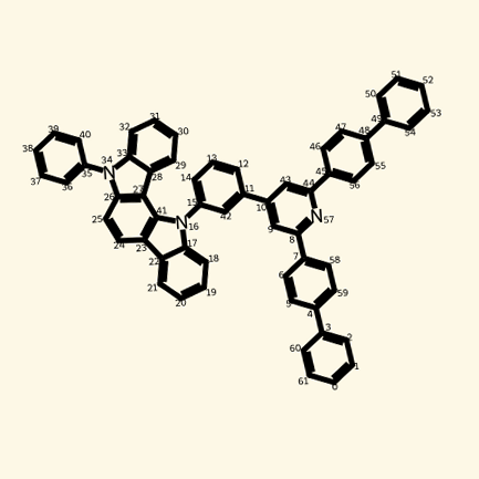 c1ccc(-c2ccc(-c3cc(-c4cccc(-n5c6ccccc6c6ccc7c(c8ccccc8n7-c7ccccc7)c65)c4)cc(-c4ccc(-c5ccccc5)cc4)n3)cc2)cc1